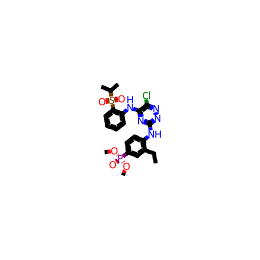 CCc1cc(P(=O)(OC)OC)ccc1Nc1nnc(Cl)c(Nc2ccccc2S(=O)(=O)C(C)C)n1